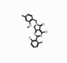 COc1cc(C)ccc1CN1Cc2nc(-c3c(F)cccc3F)nc(Cl)c2C1=O